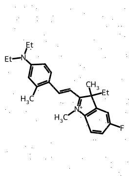 CCN(CC)c1ccc(/C=C/C2=[N+](C)c3ccc(F)cc3C2(C)CC)c(C)c1